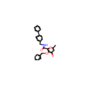 Cc1cc(=O)c(OCc2ccccc2)c(C(=O)NCc2ccc(-c3ccccc3)cc2)o1